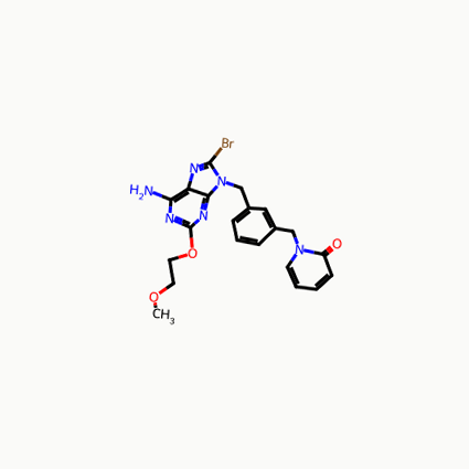 COCCOc1nc(N)c2nc(Br)n(Cc3cccc(Cn4ccccc4=O)c3)c2n1